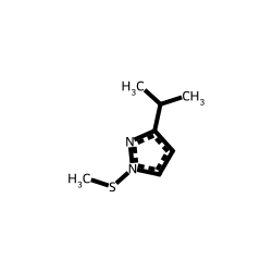 CSn1ccc(C(C)C)n1